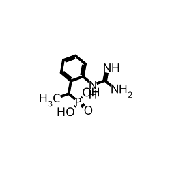 CC(c1ccccc1NC(=N)N)P(=O)(O)O